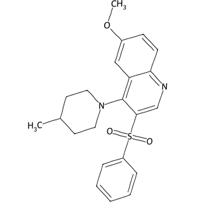 COc1ccc2ncc(S(=O)(=O)c3ccccc3)c(N3CCC(C)CC3)c2c1